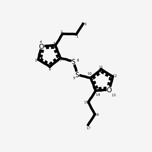 CCCc1occc1SSc1ccoc1CCC